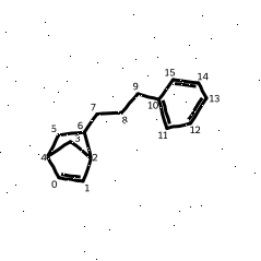 C1=CC2CC1CC2CCCc1ccccc1